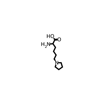 NC(CCCCN1CCCC1)C(=O)O